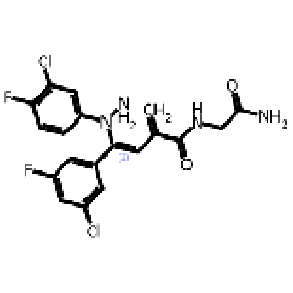 C=C(/C=C(/c1cc(F)cc(Cl)c1)N(N)c1ccc(F)c(Cl)c1)C(=O)NCC(N)=O